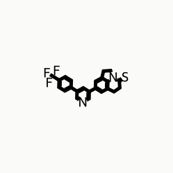 FC(F)(F)c1ccc(-c2cncc(-c3cc4c5c(c3)CCN5C(=S)CC4)c2)cc1